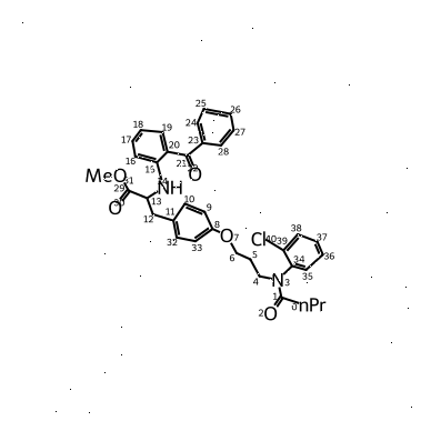 CCCC(=O)N(CCCOc1ccc(CC(Nc2ccccc2C(=O)c2ccccc2)C(=O)OC)cc1)c1ccccc1Cl